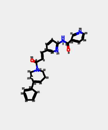 O=C(Nc1ccc(/C=C/C(=O)N2CCC=C(c3ccccc3)CC2)cn1)c1cccnc1